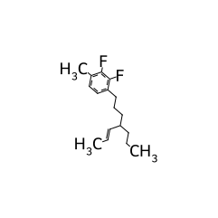 CC=CC(CCC)CCCc1ccc(C)c(F)c1F